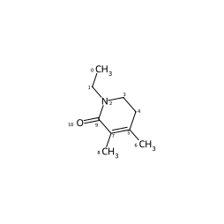 CCN1CCC(C)=C(C)C1=O